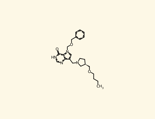 CCCCOC[C@@H]1CCN(Cc2cn(COCc3ccccc3)c3c(=O)[nH]cnc23)C1